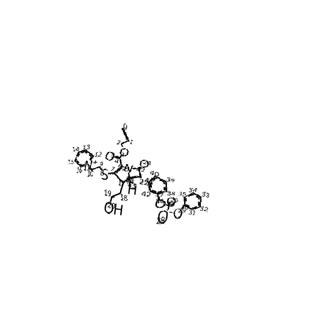 C=CCOC(=O)C1=C(SCC[n+]2ccccc2)C(CCO)[C@H]2CC(=O)N12.O=P([O-])(Oc1ccccc1)Oc1ccccc1